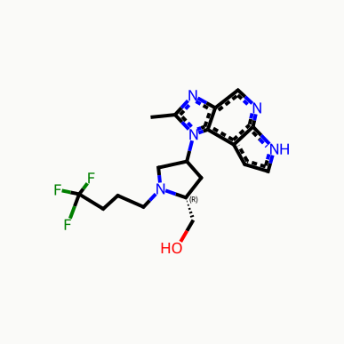 Cc1nc2cnc3[nH]ccc3c2n1C1C[C@H](CO)N(CCCC(F)(F)F)C1